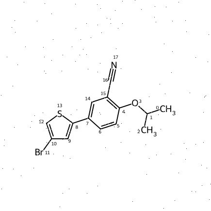 CC(C)Oc1ccc(-c2cc(Br)cs2)cc1C#N